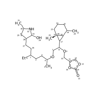 CCC(CCC(C)OCC(OCc1coc(=O)o1)C1C2C(C)CCC[C@]21C)CCC1SC(C)NC1O